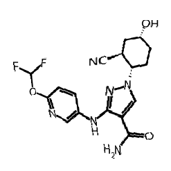 N#C[C@H]1C[C@H](O)CC[C@@H]1n1cc(C(N)=O)c(Nc2ccc(OC(F)F)nc2)n1